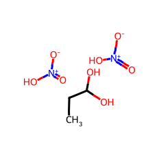 CCC(O)O.O=[N+]([O-])O.O=[N+]([O-])O